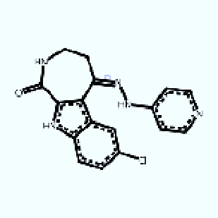 O=C1NCC/C(=N/Nc2ccncc2)c2c1[nH]c1ccc(Cl)cc21